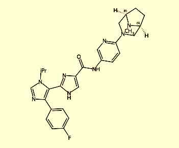 CC(C)n1cnc(-c2ccc(F)cc2)c1-c1nc(C(=O)Nc2ccc(N3C[C@H]4CC[C@@H](C3)N4C)nc2)c[nH]1